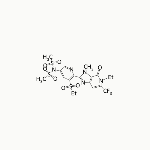 CCn1c(C(F)(F)F)cc2nc(-c3ncc(N(S(C)(=O)=O)S(C)(=O)=O)cc3S(=O)(=O)CC)n(C)c2c1=O